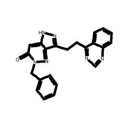 O=c1cc2[nH]nc(CCc3ncnc4ccccc34)c2nn1Cc1ccccc1